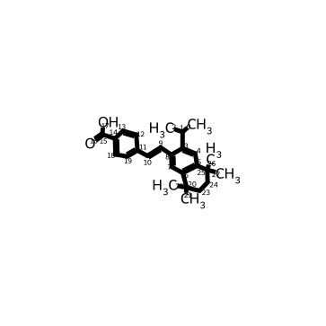 CC(C)c1cc2c(cc1C=Cc1ccc(C(=O)O)cc1)C(C)(C)CCC2(C)C